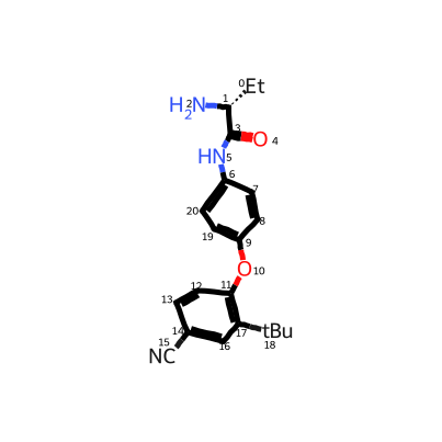 CC[C@@H](N)C(=O)Nc1ccc(Oc2ccc(C#N)cc2C(C)(C)C)cc1